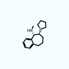 CN[C@H]1c2ccccc2CCC[C@@H]1N1CCCC1